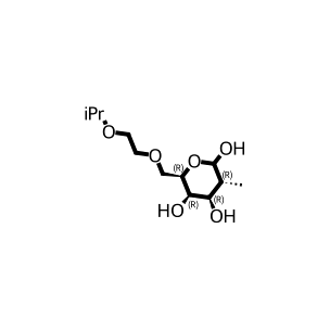 CC(C)OCCOC[C@H]1OC(O)[C@H](C)[C@@H](O)[C@H]1O